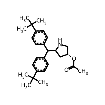 CC(=O)O[C@H]1CNC(C(c2ccc(C(C)(C)C)cc2)c2ccc(C(C)(C)C)cc2)C1